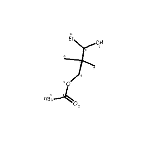 CCCCC(=O)OCC(C)(C)C(O)CC